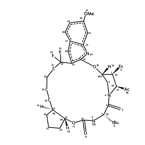 CC[C@@H]1[C@@H]2CN(C(=O)[C@H](C(C)(C)C)NC(=O)O[C@@H]3CCC[C@H]3CCCCC(F)(F)c3cc4ccc(OC)cc4nc3O2)[C@@H]1C(C)=O